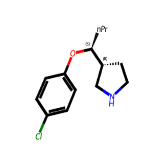 CCC[C@H](Oc1ccc(Cl)cc1)[C@@H]1CCNC1